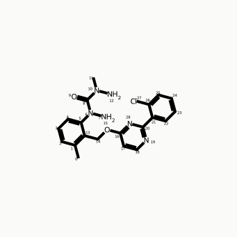 Cc1cccc(N(N)C(=O)N(C)N)c1COc1ccnc(-c2ccccc2Cl)n1